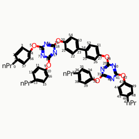 CCCc1ccc(Oc2nc(Oc3ccc(CCC)cc3)nc(Oc3ccc(-c4ccc(Oc5nc(Oc6ccc(CCC)cc6)nc(Oc6ccc(CCC)cc6)n5)cc4)cc3)n2)cc1